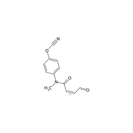 CN(C(=O)/C=C\C=O)c1ccc(OC#N)cc1